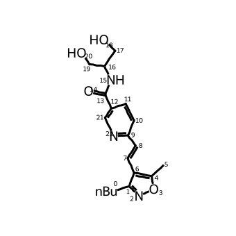 CCCCc1noc(C)c1C=Cc1ccc(C(=O)NC(CO)CO)cn1